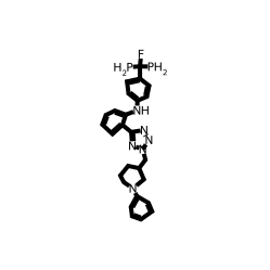 FC(P)(P)c1ccc(Nc2ccccc2-c2nnn(CC3CCCN(c4ccccc4)C3)n2)cc1